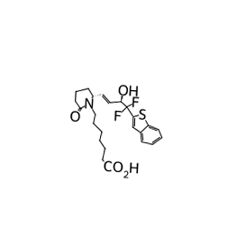 O=C(O)CCCCCCN1C(=O)CCC[C@@H]1C=C[C@@H](O)C(F)(F)c1cc2ccccc2s1